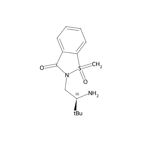 C=S1(=O)c2ccccc2C(=O)N1C[C@@H](N)C(C)(C)C